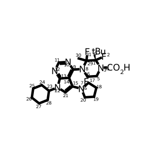 CC(C)(C)[C@@]1(F)N(C(=O)O)CC(F)N(c2ncnc3c2c(N2CCCC2)cn3C2CCCCC2)C1(C)F